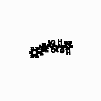 O=C(NC1COC2C1OCC2n1cc(CC2CCCCC2)nn1)c1ccc[nH]1